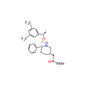 CNC(=O)C[C@H]1CC[C@@](CO[C@H](C)c2cc(C(F)(F)F)cc(C(F)(F)F)c2)(c2ccccc2)NC1